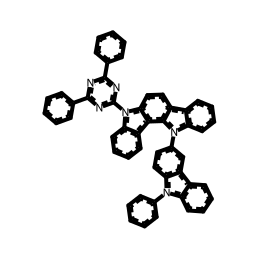 c1ccc(-c2nc(-c3ccccc3)nc(-n3c4ccccc4c4c3ccc3c5ccccc5n(-c5ccc6c(c5)c5ccccc5n6-c5ccccc5)c34)n2)cc1